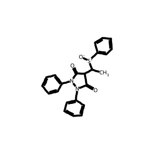 CC(C1C(=O)N(c2ccccc2)N(c2ccccc2)C1=O)[S+]([O-])c1ccccc1